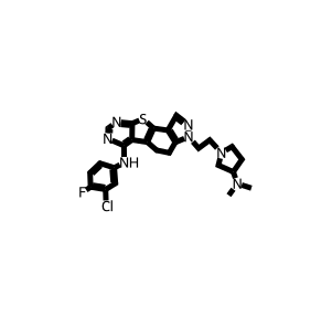 CN(C)C1CCN(CCn2ncc3c2CCc2c-3sc3ncnc(Nc4ccc(F)c(Cl)c4)c23)C1